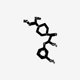 CSC(=NC#N)N1CCN(C(=O)C(C)Oc2cccc(C)c2)CC1